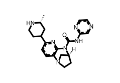 C[C@@H]1CC(c2ccc3c(n2)N(C(=O)Nc2cnccn2)[C@H]2CCN3C2)CCN1